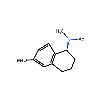 COc1ccc2c(c1)CCC[C@@H]2N(C)C(C)=O